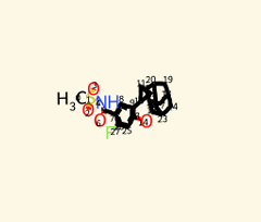 CS(=O)(=O)NC(=O)c1cc(C2CC2)c(OC2C3CC4CC(C3)CC2C4)cc1F